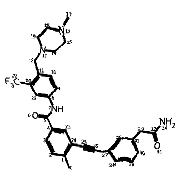 Cc1ccc(C(=O)Nc2ccc(CN3CCN(C)CC3)c(C(F)(F)F)c2)cc1C#Cc1cccc(CC(N)=O)c1